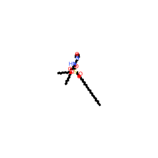 CCCCCCCCCCCCCCCCCCCCCCOC(=O)CCSCC(CC(=O)NCCCN1CCOCC1)C(=O)OC(CCCCCCCC)CCCCCCCC